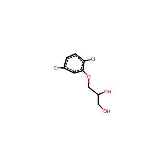 OCC(O)COc1cc(Cl)ccc1Cl